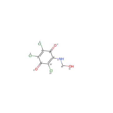 O=C1C(Cl)=C(Cl)C(=O)C(NCO)=C1Cl